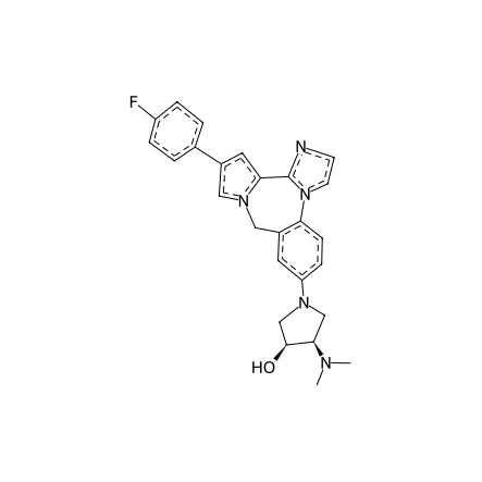 CN(C)[C@@H]1CN(c2ccc3c(c2)Cn2cc(-c4ccc(F)cc4)cc2-c2nccn2-3)C[C@@H]1O